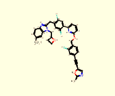 Cc1ncc(C#Cc2ccc(COc3cccc(-c4cc(F)c(Cc5nc6ccc(C(=O)O)cc6n5CC5CCO5)cc4F)n3)c(F)c2)o1